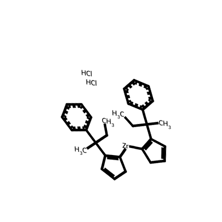 CCC(C)(C1=[C]([Zr][C]2=C(C(C)(CC)c3ccccc3)C=CC2)CC=C1)c1ccccc1.Cl.Cl